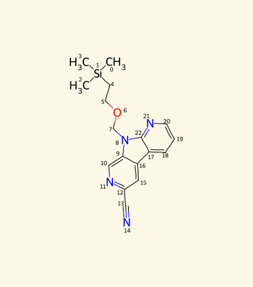 C[Si](C)(C)CCOCn1c2cnc(C#N)cc2c2cccnc21